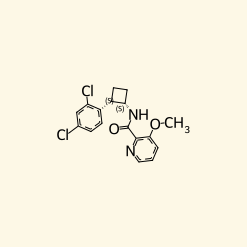 COc1cccnc1C(=O)N[C@H]1CC[C@H]1c1ccc(Cl)cc1Cl